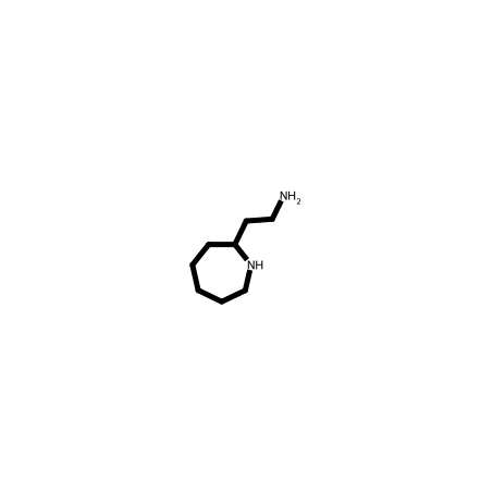 NCCC1CCCCCN1